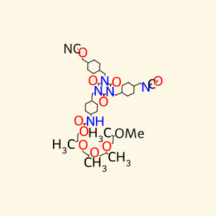 COC(C)COC(C)COC(C)COC(C)COC(=O)NC1CCC(Cn2c(=O)n(CC3CCC(CN=C=O)CC3)c(=O)n(CC3CCC(COC#N)CC3)c2=O)CC1